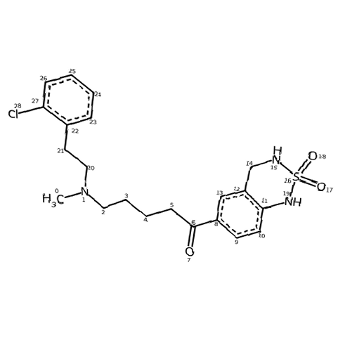 CN(CCCCC(=O)c1ccc2c(c1)CNS(=O)(=O)N2)CCc1ccccc1Cl